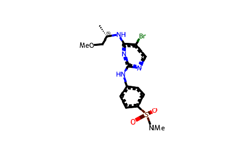 CNS(=O)(=O)c1ccc(Nc2ncc(Br)c(N[C@@H](C)COC)n2)cc1